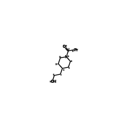 CC(C)C(=O)N1CCC(CCO)CC1